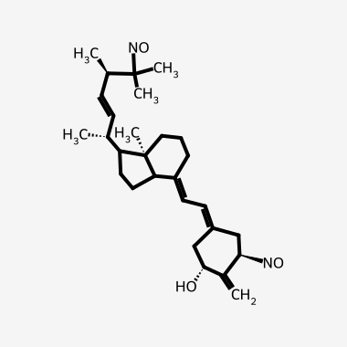 C=C1[C@H](O)C/C(=C\C=C2/CCC[C@@]3(C)C2CCC3[C@H](C)/C=C/[C@@H](C)C(C)(C)N=O)C[C@H]1N=O